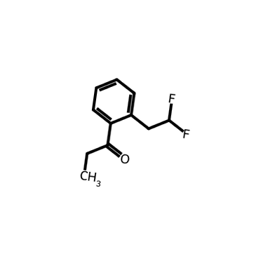 CCC(=O)c1ccccc1CC(F)F